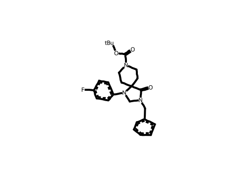 CC(C)(C)OC(=O)N1CCC2(CC1)C(=O)N(Cc1ccccc1)CN2c1ccc(F)cc1